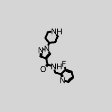 O=C(NCc1ncccc1F)c1cnn(C2CCNCC2)c1